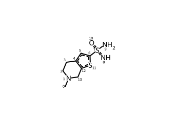 CN1CCc2cc(S(=N)(N)=O)sc2C1